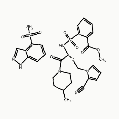 COC(=O)c1ccccc1S(=O)(=O)NC(CCn1cccc1C#N)C(=O)N1CCC(C)CC1.NS(=O)(=O)c1cccc2[nH]ncc12